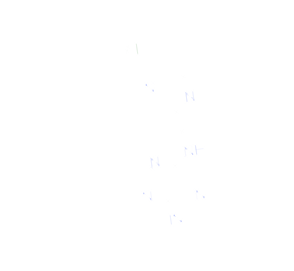 CC(C)(Nc1ncnc2[nH]cnc12)c1nc2cccc(Cl)c2nc1-c1cccc(F)c1